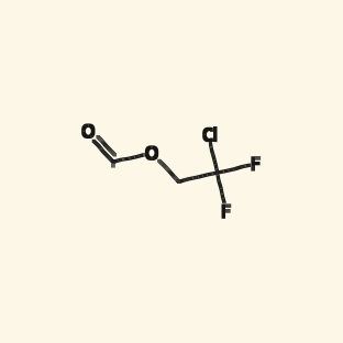 O=[C]OCC(F)(F)Cl